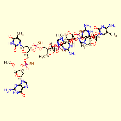 COC[C@H]1O[C@@H](n2cnc3c(=O)[nH]c(N)nc32)C[C@H]1OP(=O)(S)OC[C@H]1O[C@@H](n2cc(C)c(=O)[nH]c2=O)C[C@H]1OP(=O)(S)OC[C@]12O[C@@H](n3cnc4c(=O)[nH]c(N)nc43)C(O[C@H]1C)[C@H]2OP(=O)(S)OC[C@]12O[C@@H](n3cnc4c(=O)[nH]c(N)nc43)C(O[C@H]1C)[C@H]2OP(=O)(S)OC[C@]12O[C@@H](n3cc(C)c(N)nc3=O)C(O[C@H]1C)[C@H]2O